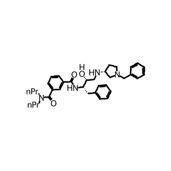 CCCN(CCC)C(=O)c1cccc(C(=O)N[C@@H](Cc2ccccc2)[C@H](O)CN[C@@H]2CCN(Cc3ccccc3)C2)c1